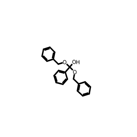 OC(OCc1ccccc1)(OCc1ccccc1)c1ccccc1